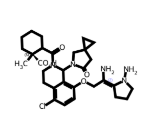 C[C@]1(C(=O)O)CCCCC1C(=O)N1CCc2c(Cl)ccc(OC/C(N)=C3\CCCN3N)c2C1N1CC2(CC2)CC1=O